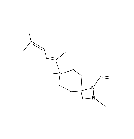 C=CN1N(C)CC12CCC(C)(/C(C)=C/C=C(C)C)CC2